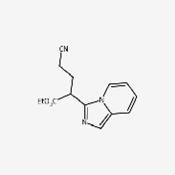 CCOC(=O)C(CCC#N)c1ncc2ccccn12